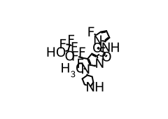 CN(c1cnc(S(=O)(=O)Nc2cccc(F)n2)cc1C(F)(F)F)C1CCNCC1.O=C(O)C(F)(F)F